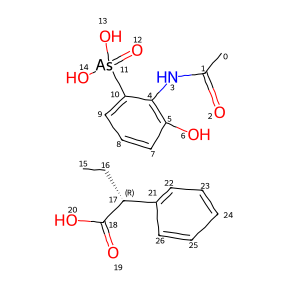 CC(=O)Nc1c(O)cccc1[As](=O)(O)O.CC[C@@H](C(=O)O)c1ccccc1